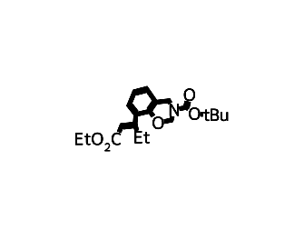 CCOC(=O)/C=C(\CC)c1cccc2c1OCN(C(=O)OC(C)(C)C)C2